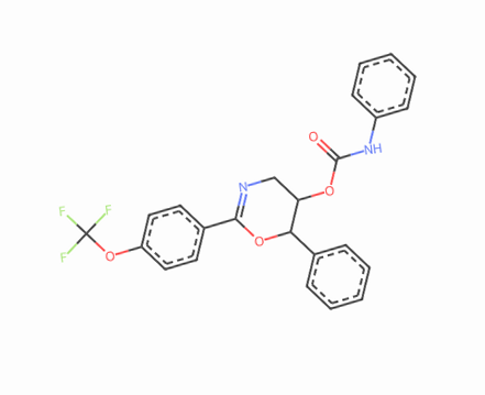 O=C(Nc1ccccc1)OC1CN=C(c2ccc(OC(F)(F)F)cc2)OC1c1ccccc1